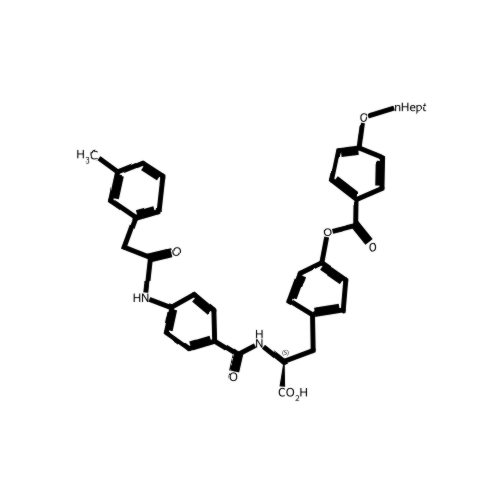 CCCCCCCOc1ccc(C(=O)Oc2ccc(C[C@H](NC(=O)c3ccc(NC(=O)Cc4cccc(C)c4)cc3)C(=O)O)cc2)cc1